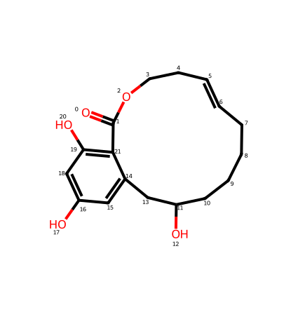 O=C1OCC/C=C/CCCCC(O)Cc2cc(O)cc(O)c21